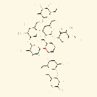 CC(=O)NC1C(OC2[C@@H](OCC3O[C@@H](O[C@@H]4C(CO)O[C@@H](O[C@@H]5C(CO)O[C@@H](C)C(NC(C)=O)[C@H]5O)C(NC(C)=O)[C@H]4O)C(O)[C@@H](O[C@H]4O[C@@H](CO)C(O)C(O)C4O[C@@H]4OC(CO)[C@@H](O[C@@H]5OC(CO)[C@H](O)[C@H](O)C5O)[C@H](O)C4NC(C)=O)[C@@H]3O)OC(CO)[C@@H](O)[C@@H]2O)O[C@@H](CO)[C@@H](O)C1O